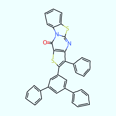 O=c1c2sc(-c3cc(-c4ccccc4)cc(-c4ccccc4)c3)c(-c3ccccc3)c2nc2sc3ccccc3n12